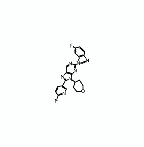 Fc1ccc2ncn(-c3ncc4nc(-c5ccc(F)nc5)n(C5CCOCC5)c4n3)c2c1